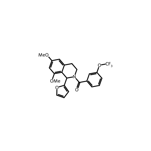 COc1cc2c(c(OC)c1)C(c1ccco1)N(C(=O)c1cccc(OC(F)(F)F)c1)CC2